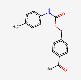 Cc1ccc(NC(=O)OCc2ccc(C(=O)C(C)(C)C)cc2)cc1